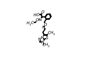 CCON=C(C(=O)O)c1ccccc1CON=CCC1=C(C)SC2N(C)C=NN12